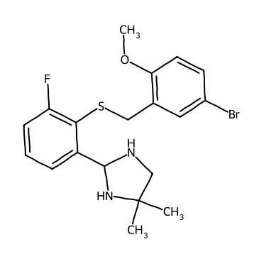 COc1ccc(Br)cc1CSc1c(F)cccc1C1NCC(C)(C)N1